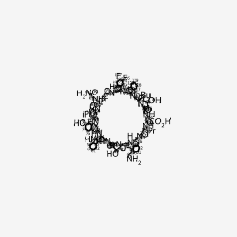 CCCC[C@H]1C(=O)N2C[C@H](O)C[C@@H]2C(=O)N[C@@H](CC(=O)O)C(=O)N[C@@H](C(C)C)C(=O)N(C)[C@H](Cc2ccccc2)C(=O)N[C@@H](CCCCN)C(=O)N2C[C@H](O)C[C@@H]2C(=O)N[C@@H](Cc2c[nH]c3ccccc23)C(=O)N[C@@H](Cc2ccc(O)cc2)C(=O)N[C@@H](CC(C)C)C(=O)N[C@H](C(=O)NCC(N)=O)CSCC(=O)N[C@@H](Cc2ccc(F)c(F)c2)C(=O)N(C)[C@@H](Cc2ccccc2)C(=O)N1C